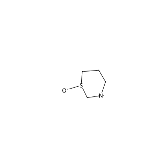 [O-][S+]1CCC[N]C1